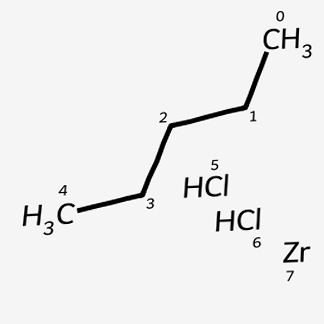 CCCCC.Cl.Cl.[Zr]